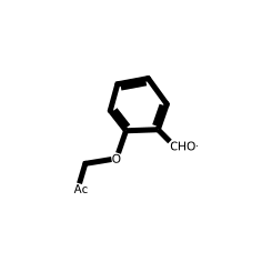 CC(=O)COc1ccccc1[C]=O